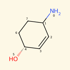 NC1C=C[C@H](O)CC1